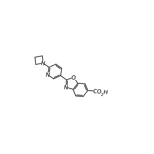 O=C(O)c1ccc2nc(-c3ccc(N4CCC4)nc3)oc2c1